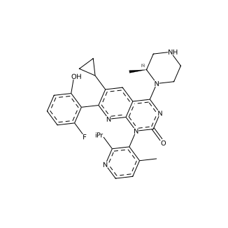 Cc1ccnc(C(C)C)c1-n1c(=O)nc(N2CCNC[C@@H]2C)c2cc(C3CC3)c(-c3c(O)cccc3F)nc21